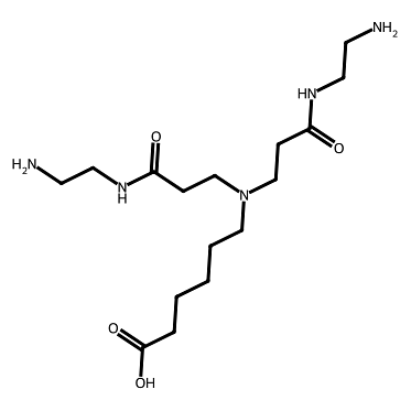 NCCNC(=O)CCN(CCCCCC(=O)O)CCC(=O)NCCN